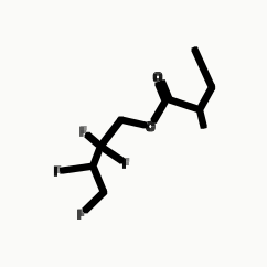 CCC(C)C(=O)OCC(F)(F)C(F)CF